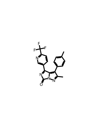 Cc1ccc(-c2c(C)nn3c2C(c2ccc(C(F)(F)F)nc2)=NC3=O)cc1